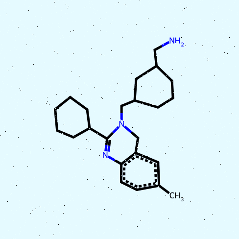 Cc1ccc2c(c1)CN(CC1CCCC(CN)C1)C(C1CCCCC1)=N2